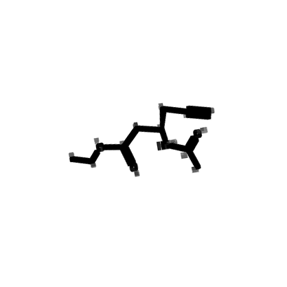 C#CC[C@H](CC(=O)OCC)NC(C)=O